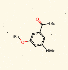 CNc1cc(OC(C)(C)C)cc(C(=O)C(C)(C)C)c1